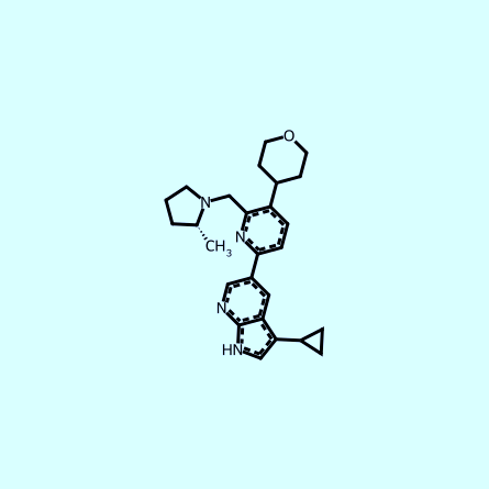 C[C@@H]1CCCN1Cc1nc(-c2cnc3[nH]cc(C4CC4)c3c2)ccc1C1CCOCC1